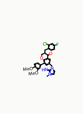 COc1ccc(-c2cc(Cn3ccn(C)c3=N)cc3c2OCC(Cc2ccc(F)cc2Cl)C3=O)cc1OC